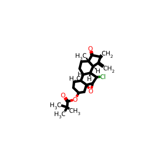 C=C1C(=C)[C@H]2[C@@H]3C(Cl)C4OC45CC(OC(=O)C(C)(C)C)CC[C@]5(C)[C@@H]3CC[C@]2(C)C1=O